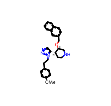 COc1ccc(CCn2nncc2[C@H]2CCNC[C@@H]2OCc2ccc3ccccc3c2)cc1